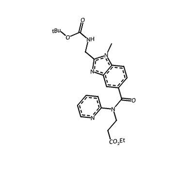 CCOC(=O)CCN(C(=O)c1ccc2c(c1)nc(CNC(=O)OC(C)(C)C)n2C)c1ccccn1